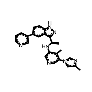 C=C(Nc1cncc(-n2cnc(C)c2)c1C)c1n[nH]c2ccc(-c3cccnc3)cc12